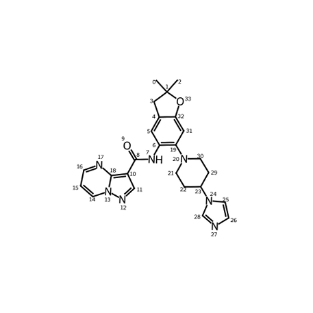 CC1(C)Cc2cc(NC(=O)c3cnn4cccnc34)c(N3CCC(n4ccnc4)CC3)cc2O1